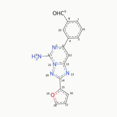 Nc1nc(-c2cccc(C=O)c2)cc2nc(-c3ccco3)nn12